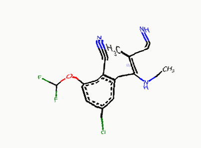 CN/C(=C(/C)C=N)c1cc(Cl)cc(OC(F)F)c1C#N